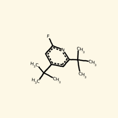 CC(C)(C)c1cc(F)nc(C(C)(C)C)c1